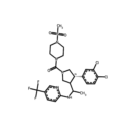 CC(Nc1ccc(C(F)(F)F)cn1)C1CN(C(=O)N2CCN(S(C)(=O)=O)CC2)C[C@@H]1c1ccc(Cl)c(Cl)c1